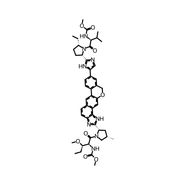 CC[C@H]1CC[C@@H](c2ncc(-c3ccc4c(c3)COc3cc5c(ccc6nc([C@@H]7C[C@H](C)CN7C(=O)[C@@H](NC(=O)OC)[C@@H](CC)OC)[nH]c65)cc3-4)[nH]2)N1C(=O)[C@@H](NC(=O)OC)C(C)C